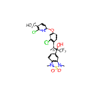 C[C@@H](c1ccc(Oc2ccc(C(=O)O)c(Cl)n2)cc1Cl)[C@](O)(c1ccc2c(c1)N(C)S(=O)(=O)N2C)C(F)(F)F